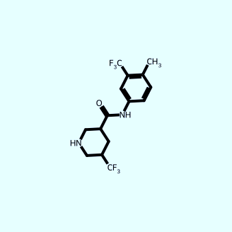 Cc1ccc(NC(=O)C2CNCC(C(F)(F)F)C2)cc1C(F)(F)F